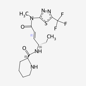 CC[C@@H](/C=C/C(=O)N(C)c1nnc(C(F)(F)F)s1)NC(=O)[C@@H]1CCCCN1